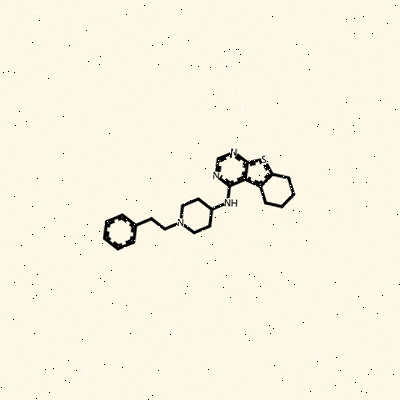 c1ccc(CCN2CCC(Nc3ncnc4sc5c(c34)CCCC5)CC2)cc1